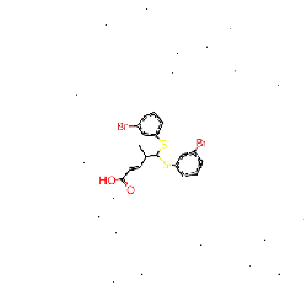 CC(C=CC(=O)O)C(Sc1cccc(Br)c1)Sc1cccc(Br)c1